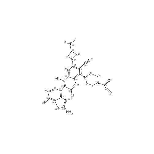 C=CC(=O)N1CCN(c2c(C#N)c(N3CC(N(C)C)C3)nc3c(F)c(-c4ccc(F)c5sc(N)nc45)c(Cl)cc23)CC1